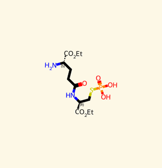 CCOC(=O)[C@H](CSP(=O)(O)O)NC(=O)CC[C@H](N)C(=O)OCC